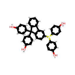 Oc1ccc([S+](c2ccc(O)cc2)c2ccc3c(c2)-c2ccccc2C3(c2ccc(O)cc2)c2ccc(O)cc2)cc1